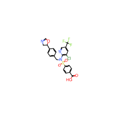 O=C(O)c1ccc(S(=O)(=O)N(Cc2ccc(C3CN=CO3)cc2)c2ncc(C(F)(F)F)cc2Cl)cc1